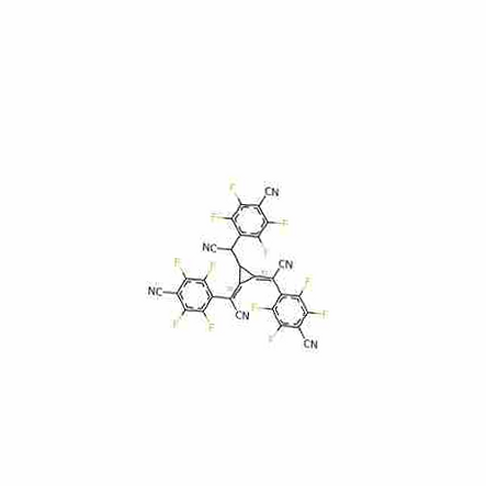 N#C/C(=C1\C(=C(\C#N)c2c(F)c(F)c(C#N)c(F)c2F)C1C(C#N)c1c(F)c(F)c(C#N)c(F)c1F)c1c(F)c(F)c(C#N)c(F)c1F